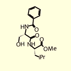 COC(=O)[C@H](CC(C)C)NC(=O)[C@H](CO)NC(=O)c1ccccc1